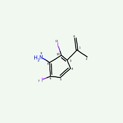 C=C(C)c1ccc(I)c(N)c1I